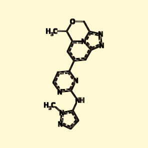 CC1OCc2nnc3cc(-c4ccnc(Nc5ccnn5C)n4)cc1n23